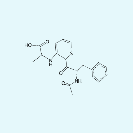 CC(=O)NC(Cc1ccccc1)C(=O)C1SC=CC=C1NC(C)C(=O)O